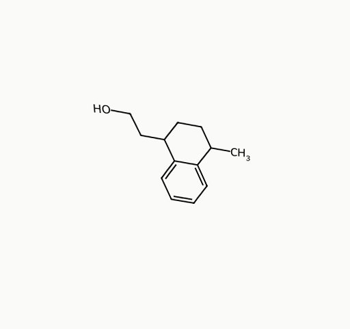 CC1CCC(CCO)c2ccccc21